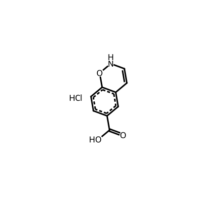 Cl.O=C(O)c1ccc2c(c1)C=CNO2